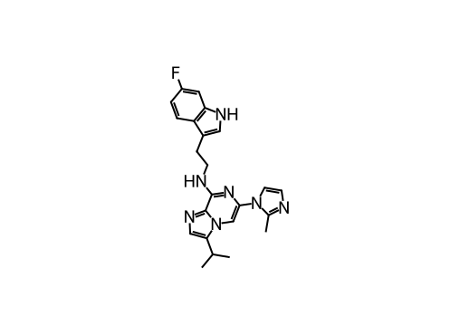 Cc1nccn1-c1cn2c(C(C)C)cnc2c(NCCc2c[nH]c3cc(F)ccc23)n1